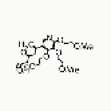 C=C(CC(=O)CCO)c1cnc(OCCOC)c(OCCOC)c1OCCOC